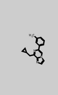 Cc1cccc(-c2cn3ccnc3c(CC3CC3)n2)c1